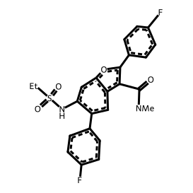 CCS(=O)(=O)Nc1cc2oc(-c3ccc(F)cc3)c(C(=O)NC)c2cc1-c1ccc(F)cc1